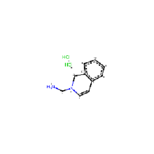 Cl.Cl.NCN1C=Cc2ccccc2C1